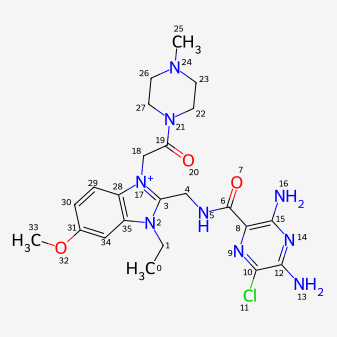 CCn1c(CNC(=O)c2nc(Cl)c(N)nc2N)[n+](CC(=O)N2CCN(C)CC2)c2ccc(OC)cc21